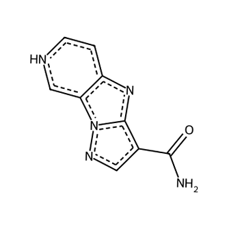 NC(=O)c1cnn2c1nc1cc[nH]cc12